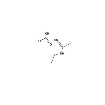 CCNC(C)=N.O=C(O)O